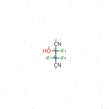 N#CC(O)(F)C(F)(F)C#N